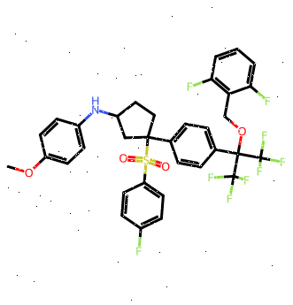 COc1ccc(NC2CCC(c3ccc(C(OCc4c(F)cccc4F)(C(F)(F)F)C(F)(F)F)cc3)(S(=O)(=O)c3ccc(F)cc3)C2)cc1